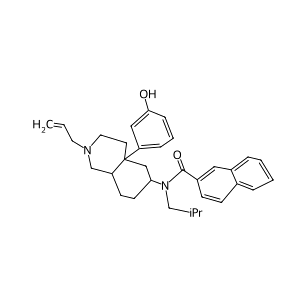 C=CCN1CCC2(c3cccc(O)c3)CC(N(CC(C)C)C(=O)c3ccc4ccccc4c3)CCC2C1